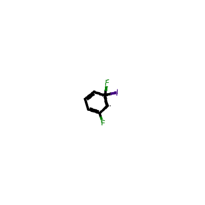 FC1=CC=CC(F)(I)[CH]1